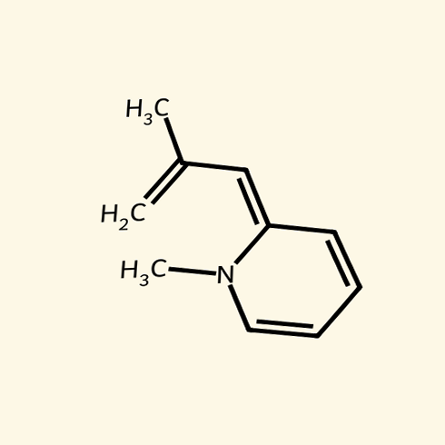 C=C(C)/C=C1/C=CC=CN1C